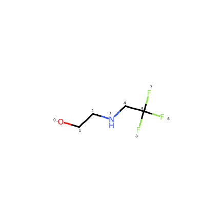 [O]CCNCC(F)(F)F